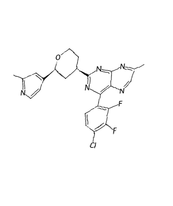 Cc1cc([C@@H]2C[C@H](c3nc(-c4ccc(Cl)c(F)c4F)c4ncc(C)nc4n3)CCO2)ccn1